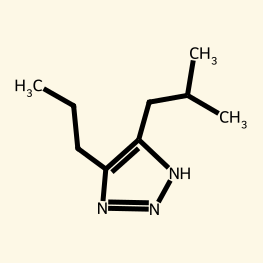 CCCc1nn[nH]c1CC(C)C